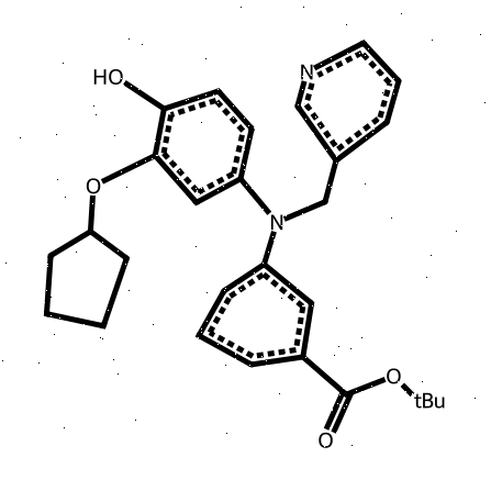 CC(C)(C)OC(=O)c1cccc(N(Cc2cccnc2)c2ccc(O)c(OC3CCCC3)c2)c1